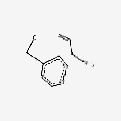 C=CCN.ClCc1ccccc1